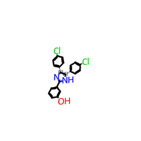 Oc1cccc(C2=N[C@H](c3ccc(Cl)cc3)[C@H](c3ccc(Cl)cc3)N2)c1